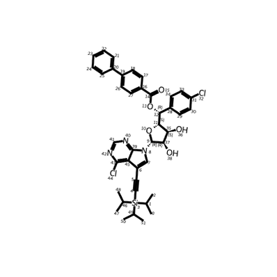 CC(C)[Si](C#Cc1cn([C@@H]2O[C@H]([C@H](OC(=O)c3ccc(-c4ccccc4)cc3)c3ccc(Cl)cc3)[C@@H](O)[C@H]2O)c2ncnc(Cl)c12)(C(C)C)C(C)C